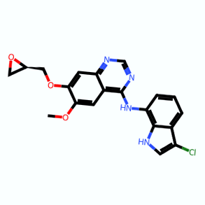 COc1cc2c(Nc3cccc4c(Cl)c[nH]c34)ncnc2cc1OC[C@H]1CO1